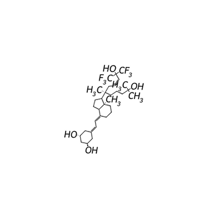 CC(C)(O)CCC[C@](C)(C/C=C\C(O)(C(F)(F)F)C(F)(F)F)C1CCC2/C(=C/C=C3C[C@@H](O)C[C@H](O)C3)CCC[C@@]21C